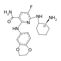 NC(=O)c1cc(F)c(NC2CCCC[C@@H]2N)nc1Nc1ccc2c(c1)OCCO2